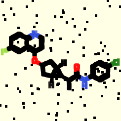 CC(C(=O)Nc1ccc(Cl)cc1)[C@H]1[C@@H]2C[C@@H](Oc3ccnc4ccc(F)cc34)C[C@@H]21